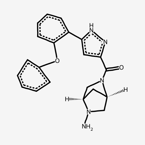 NN1C[C@H]2C[C@@H]1CN2C(=O)c1cc(-c2ccccc2Oc2ccccc2)[nH]n1